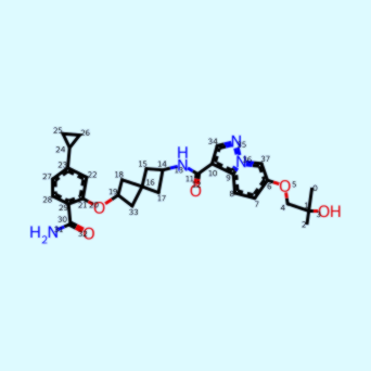 CC(C)(O)COc1ccc2c(C(=O)NC3CC4(C3)CC(Oc3cc(C5CC5)ccc3C(N)=O)C4)cnn2c1